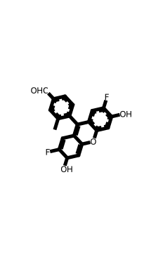 Cc1cc(C=O)ccc1C1=C2C=C(F)C(O)C=C2Oc2cc(O)c(F)cc21